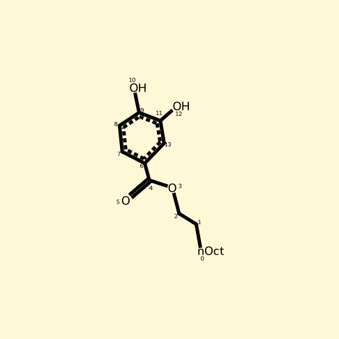 CCCCCCCCCCOC(=O)c1ccc(O)c(O)c1